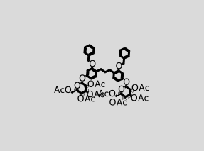 CC(=O)OC[C@H]1OC(Oc2ccc(CCCc3ccc(OC4O[C@H](COC(C)=O)[C@@H](OC(C)=O)[C@H](OC(C)=O)[C@H]4OC(C)=O)cc3OCc3ccccc3)c(OCc3ccccc3)c2)[C@H](OC(C)=O)[C@@H](OC(C)=O)[C@@H]1OC(C)=O